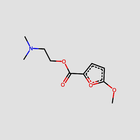 COc1ccc(C(=O)OCCN(C)C)o1